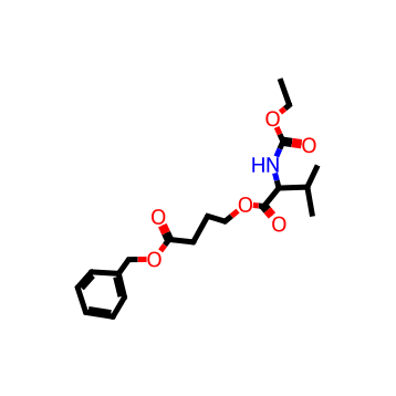 CCOC(=O)NC(C(=O)OCCCC(=O)OCc1ccccc1)C(C)C